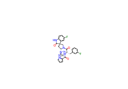 C#[N+][C@@H]1C[C@@]2(CN1C(=O)[C@H](Cc1cccc(F)c1)NC(=O)c1ccc[nH]1)C(=O)Nc1ccc(F)cc12